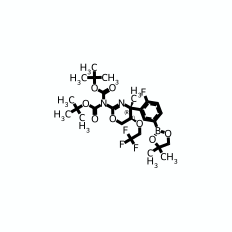 CC(C)(C)OC(=O)N(C(=O)OC(C)(C)C)C1=N[C@](C)(c2cc(B3OCC(C)(C)O3)ccc2F)[C@@H](OCC(F)(F)F)CO1